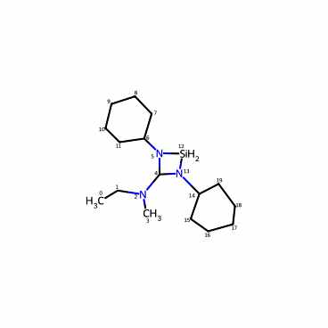 CCN(C)C1N(C2CCCCC2)[SiH2]N1C1CCCCC1